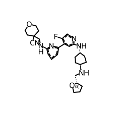 N#CC1(CNc2cccc(-c3cc(N[C@H]4CC[C@H](NC[C@@H]5CCCO5)CC4)ncc3F)n2)CCOCC1